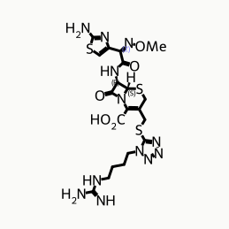 CO/N=C(\C(=O)N[C@@H]1C(=O)N2C(C(=O)O)=C(CSc3nnnn3CCCCNC(=N)N)CS[C@@H]12)c1csc(N)n1